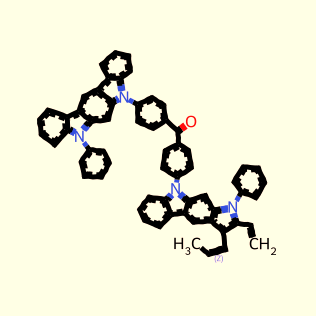 C=Cc1c(/C=C\C)c2cc3c4ccccc4n(-c4ccc(C(=O)c5ccc(-n6c7ccccc7c7cc8c9ccccc9n(-c9ccccc9)c8cc76)cc5)cc4)c3cc2n1-c1ccccc1